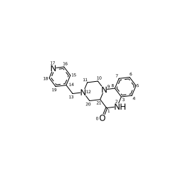 O=C1Nc2ccccc2N2CCN(Cc3ccncc3)CC12